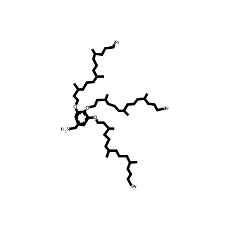 CC(C)CCCC(C)CCCC(C)CCCC(C)CCOc1cc(CN)cc(OCCC(C)CCCC(C)CCCC(C)CCCC(C)C)c1OCCC(C)CCCC(C)CCCC(C)CCCC(C)C